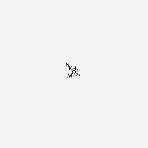 [KH].[Mn+2].[Ni].[O-2]